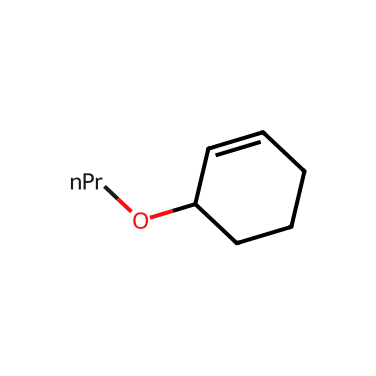 CCCOC1C=CCCC1